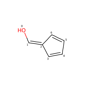 OC=C1C=CC=C1